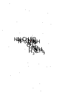 Cc1cc2[nH]c(C3CC3)nc2cc1-c1ccc(C[C@@H](C(N)=O)N(c2cc(F)c3c(=O)[nH][nH]c3c2)C(=O)[C@H]2CC[C@H](CNC(=O)OC(C)(C)C)CC2)cc1